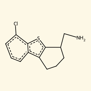 NCC1CCCc2c1sc1c(Cl)cccc21